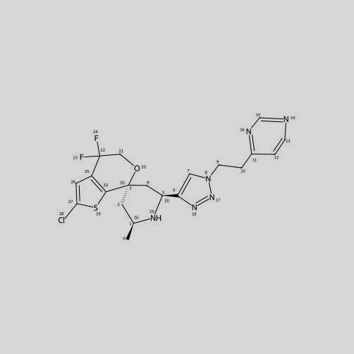 C[C@H]1C[C@@]2(C[C@@H](c3cn(CCc4ccncn4)nn3)N1)OCC(F)(F)c1cc(Cl)sc12